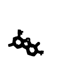 Cc1cc(Br)c2oc3c(C)c(F)ccc3c2c1